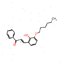 CCCCCCOc1cccc(/C=C/C(=O)c2ccccc2)c1O